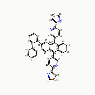 c1ccc(-c2ccccc2-c2ccc3c(-c4ccc(-c5cscn5)nc4)c4ccccc4c(-c4ccc(-c5cscn5)nc4)c3c2)cc1